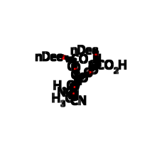 CCCCCCCCCCCCC/C=C/CC(CC(=O)OCCOCCOCCN(CCOCCOC(=O)CC(C/C=C/CCCCCCCCCCCCC)C(=O)O)c1ccc(/N=N/C2SC(C#N)=C(C)C2C#N)c(C)c1)C(=O)O